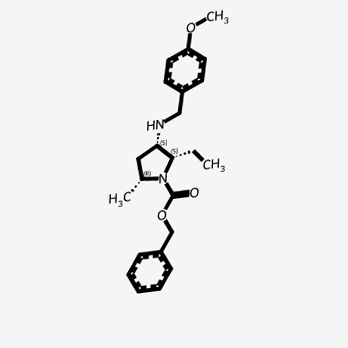 CC[C@H]1[C@@H](NCc2ccc(OC)cc2)C[C@@H](C)N1C(=O)OCc1ccccc1